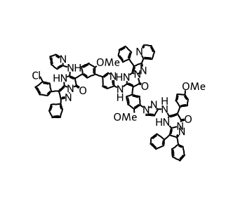 COc1ccc(-c2c(Nc3ccn(-c4cc(-c5c(Nc6ccc(-c7cc(-c8c(Nc9ccccn9)[nH]c9c(-c%10cccc(Cl)c%10)c(-c%10ccccc%10)nn9c8=O)ccc7OC)cn6)[nH]c6c(-c7ccccc7)c(-c7ccccn7)nn6c5=O)ccc4OC)n3)[nH]c3c(-c4ccccc4)c(-c4ccccc4)nn3c2=O)cc1